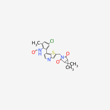 Cc1cc(Cl)cc(-c2ccnc3cc(CN4C(=O)C5C(C4=O)C5(C)C)sc23)c1NC=O